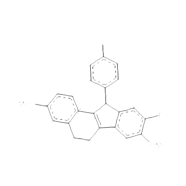 COc1ccc2c(c1)CCC1=C2C(c2ccc(O)cc2)c2cc(F)c(OC)cc21